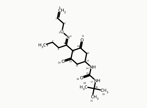 C=CCO/N=C(\CCC)C1C(=O)CC(NC(=O)NC(C)(C)C)CC1=O